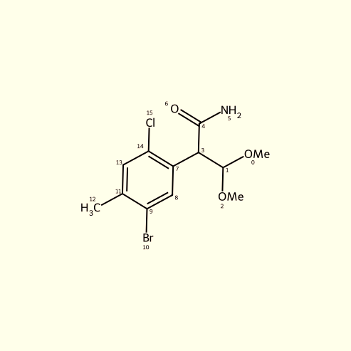 COC(OC)C(C(N)=O)c1cc(Br)c(C)cc1Cl